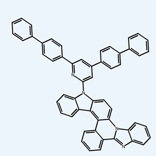 c1ccc(-c2ccc(-c3cc(-c4ccc(-c5ccccc5)cc4)nc(-n4c5ccccc5c5c6c7ccccc7c7nc8ccccc8n7c6ccc54)c3)cc2)cc1